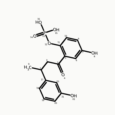 CC(CC(=O)c1cc(O)ccc1OP(=O)(O)O)c1cccc(O)c1